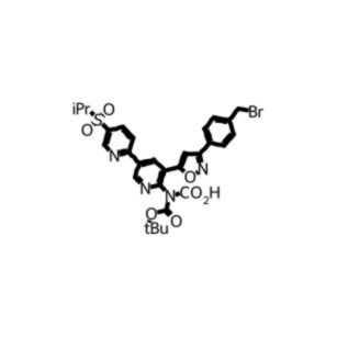 CC(C)S(=O)(=O)c1ccc(-c2cnc(N(C(=O)O)C(=O)OC(C)(C)C)c(-c3cc(-c4ccc(CBr)cc4)no3)c2)nc1